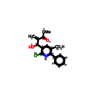 C=C(C(=O)OC)C(O)c1cc(C(=O)O)c(-c2ccccc2)nc1Cl